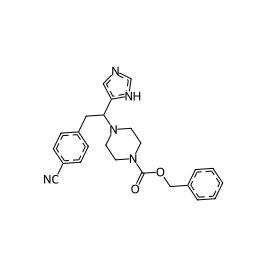 N#Cc1ccc(CC(c2cnc[nH]2)N2CCN(C(=O)OCc3ccccc3)CC2)cc1